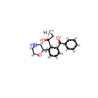 CCC(=O)c1c(C(=O)c2ccccc2)cccc1C1CNCCO1